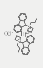 CCC[Si]1(C2c3ccccc3-c3ccc[c]([Hf+2][c]4cccc5c4C([Si]4(CCC)CCC4)c4ccccc4-5)c32)CCC1.[Cl-].[Cl-]